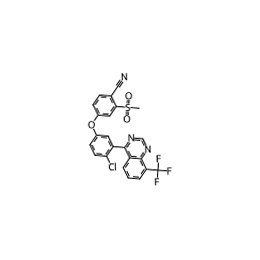 CS(=O)(=O)c1cc(Oc2ccc(Cl)c(-c3ncnc4c(C(F)(F)F)cccc34)c2)ccc1C#N